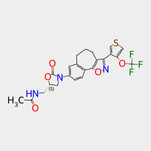 CC(=O)NC[C@H]1CN(c2ccc3c(c2)CCCc2c(-c4cscc4OC(F)(F)F)noc2-3)C(=O)O1